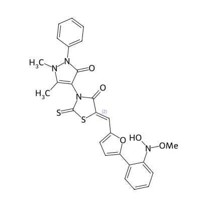 CON(O)c1ccccc1-c1ccc(/C=C2\SC(=S)N(c3c(C)n(C)n(-c4ccccc4)c3=O)C2=O)o1